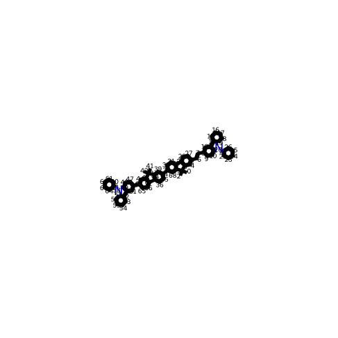 CC1(C)c2cc(/C=C/c3ccc4c(c3)c3ccccc3n4-c3ccccc3)ccc2-c2ccc(-c3ccc4c(c3)C(C)(C)c3cc(-c5ccc6c(c5)c5ccccc5n6-c5ccccc5)ccc3-4)cc21